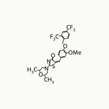 COc1cc(C=C2SC(N3CC(C)OC(C)C3)=NC2=O)ccc1OCc1ccc(C(F)(F)F)cc1C(F)(F)F